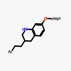 CCCCCCCOc1ccc2c(c1)NCC(CCC(C)=O)C2